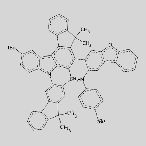 CC(C)(C)c1ccc(Nc2cc3c(cc2-c2c4c(c5c6cc(C(C)(C)C)ccc6n6c5c2Bc2cc5c(cc2-6)-c2ccccc2C5(C)C)-c2ccccc2C4(C)C)oc2ccccc23)cc1